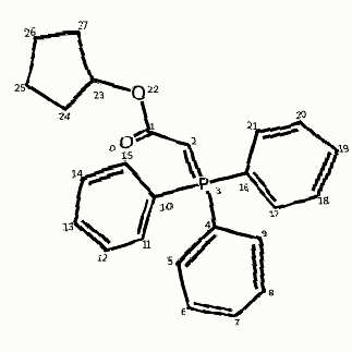 O=C(C=P(c1ccccc1)(c1ccccc1)c1ccccc1)OC1CCCC1